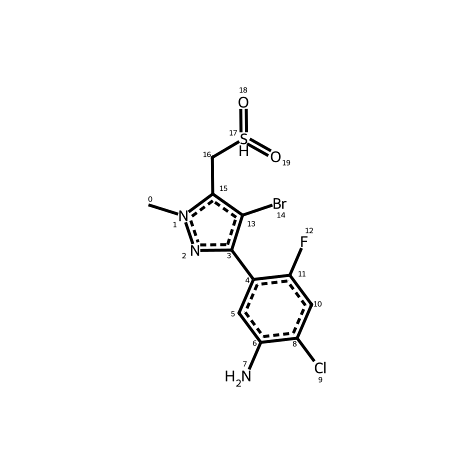 Cn1nc(-c2cc(N)c(Cl)cc2F)c(Br)c1C[SH](=O)=O